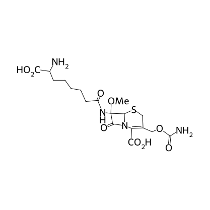 COC1(NC(=O)CCCCCC(N)C(=O)O)C(=O)N2C(C(=O)O)=C(COC(N)=O)CSC21